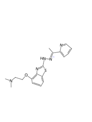 C/C(=N\Nc1nc2c(OCCN(C)C)cccc2s1)c1ccccn1